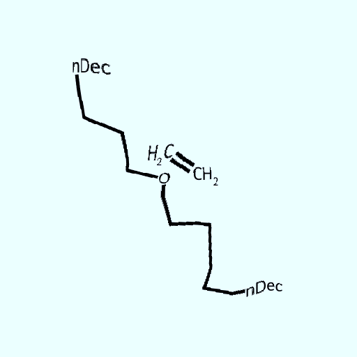 C=C.CCCCCCCCCCCCCOCCCCCCCCCCCCC